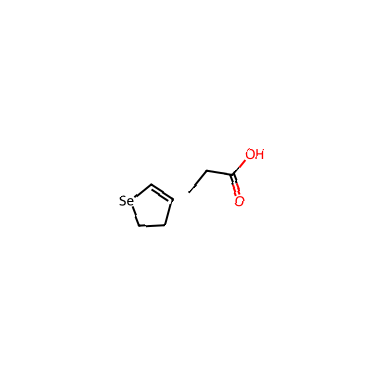 C1=C[Se]CC1.CCC(=O)O